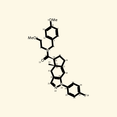 COCCN(Cc1ccc(OC)cc1)C(=O)[C@H]1CCC2=Cc3c(cnn3-c3ccc(F)cc3)C[C@@]21C